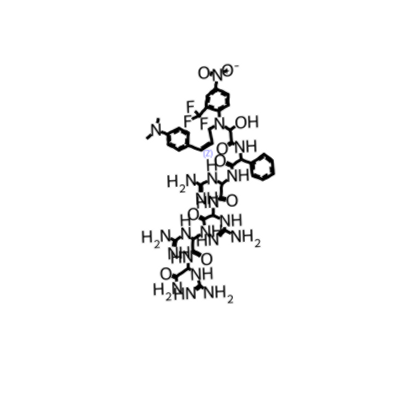 CN(C)c1ccc(/C=C\CN(c2ccc([N+](=O)[O-])cc2C(F)(F)F)C(O)C(=O)NC(C(=O)NC(NC(=N)N)C(=O)NC(NC(=N)N)C(=O)NC(NC(=N)N)C(=O)NC(NC(=N)N)C(N)=O)c2ccccc2)cc1